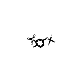 O=S(=O)(Cl)c1cc(OC(F)(F)F)ccc1F